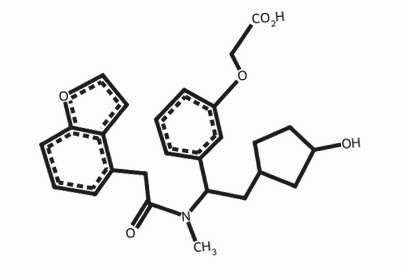 CN(C(=O)Cc1cccc2occc12)C(CC1CCC(O)C1)c1cccc(OCC(=O)O)c1